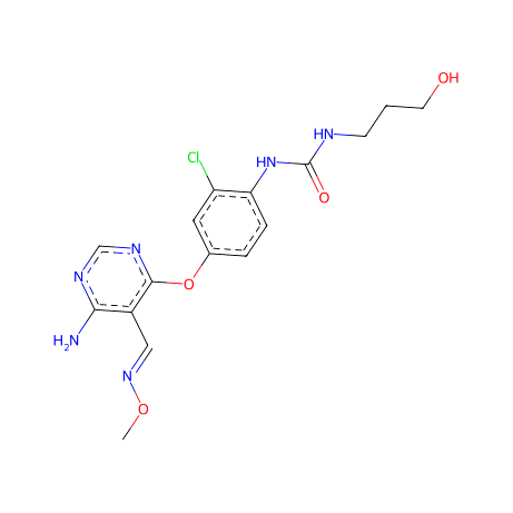 CON=Cc1c(N)ncnc1Oc1ccc(NC(=O)NCCCO)c(Cl)c1